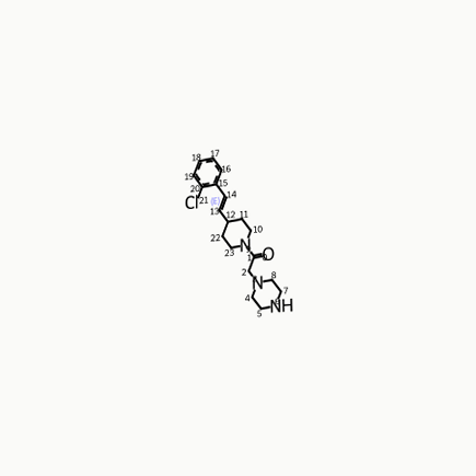 O=C(CN1CCNCC1)N1CCC(/C=C/c2ccccc2Cl)CC1